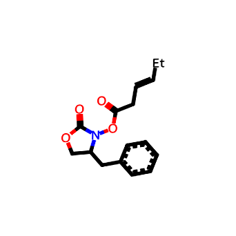 CCC=CCC(=O)ON1C(=O)OCC1Cc1ccccc1